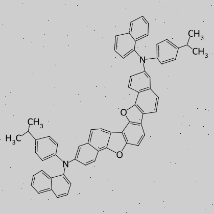 CC(C)c1ccc(N(c2ccc3c(ccc4c5ccc6oc7c8ccc(N(c9ccc(C(C)C)cc9)c9cccc%10ccccc9%10)cc8ccc7c6c5oc34)c2)c2cccc3ccccc23)cc1